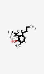 CCCCc1ccc(C)c(O)c1C(C)(C)C